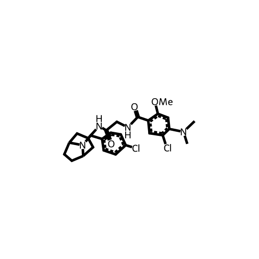 COc1cc(N(C)C)c(Cl)cc1C(=O)NCC(=O)NC1CC2CCC(C1)N2Cc1ccc(Cl)cc1